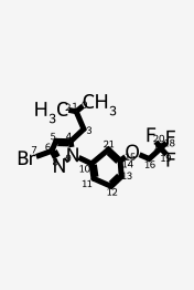 CC(C)Cc1cc(Br)nn1-c1cccc(OCC(F)(F)F)c1